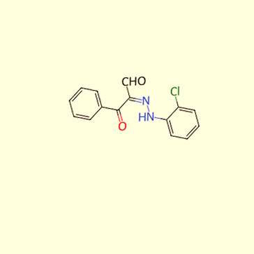 O=C/C(=N/Nc1ccccc1Cl)C(=O)c1ccccc1